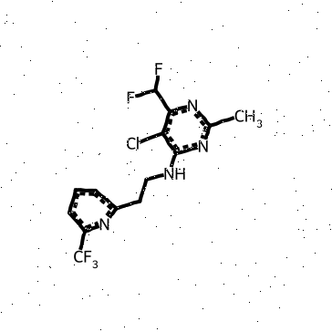 Cc1nc(NCCc2cccc(C(F)(F)F)n2)c(Cl)c(C(F)F)n1